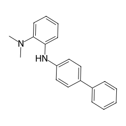 CN(C)c1ccccc1Nc1ccc(-c2ccccc2)cc1